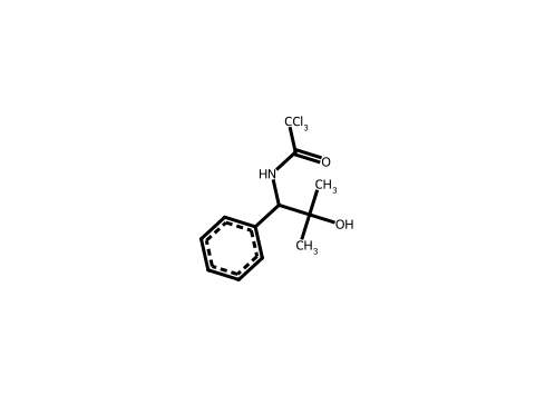 CC(C)(O)C(NC(=O)C(Cl)(Cl)Cl)c1ccccc1